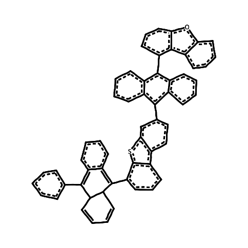 C1=CC2C(c3ccccc3)=c3ccccc3=C(c3cccc4c3sc3cc(-c5c6ccccc6c(-c6cccc7oc8ccccc8c67)c6ccccc56)ccc34)C2C=C1